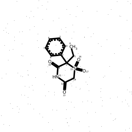 CCC1(c2ccccc2)C(=O)NC(=O)CS1(=O)=O